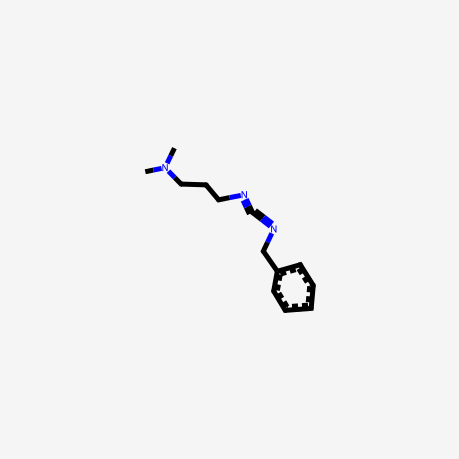 CN(C)CCCN=C=NCc1ccccc1